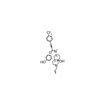 C=CCN1CC[C@@]2(c3cccc(O)c3)C[C@H](N(C)C(=O)C#Cc3ccc(C(F)(F)F)cc3)CC[C@]2(O)C1